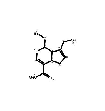 COC(=O)C1=COC(OC(C)C)C2C(CO)=CCC12